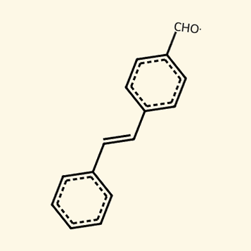 O=[C]c1ccc(/C=C/c2ccccc2)cc1